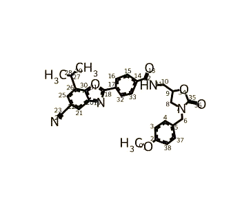 COc1ccc(CN2CC(CNC(=O)c3ccc(-c4nc5cc(C#N)cc(C(C)C)c5o4)cc3)OC2=O)cc1